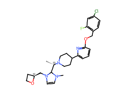 C[C@@H](C1N(C)C=CN1C[C@@H]1CCO1)N1CCC(c2cccc(OCc3ccc(Cl)cc3F)n2)CC1